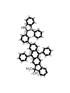 CC1(C)c2ccccc2-c2cc3c(-c4ccccc4)c4ccc(-c5cccc(C6Nc7ccccc7N6c6ccccc6)c5)cc4c(-c4ccccc4)c3cc21